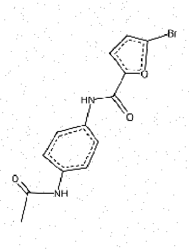 CC(=O)Nc1ccc(NC(=O)c2ccc(Br)o2)cc1